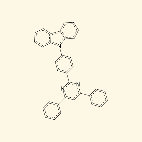 c1ccc(-c2cc(-c3ccccc3)nc(-c3ccc(-n4c5ccccc5c5ccccc54)cc3)n2)cc1